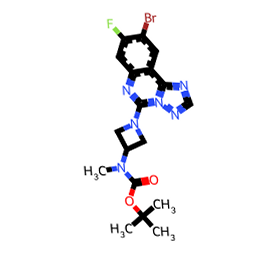 CN(C(=O)OC(C)(C)C)C1CN(c2nc3cc(F)c(Br)cc3c3ncnn23)C1